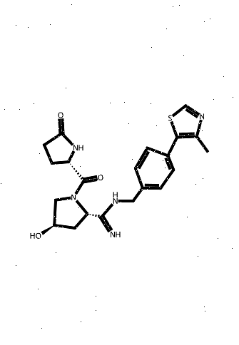 Cc1ncsc1-c1ccc(CNC(=N)[C@@H]2C[C@@H](O)CN2C(=O)[C@@H]2CCC(=O)N2)cc1